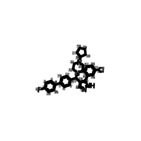 Fc1ccc(-c2ccc(C(c3cn[nH]c3-c3cccc(Cl)c3)N3CCN(C4CCCC4)CC3)cc2)cc1